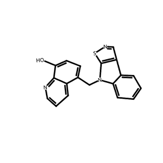 Oc1ccc(Cn2c3ccccc3c3cnsc32)c2cccnc12